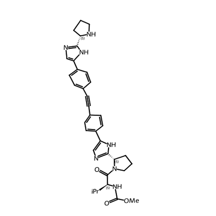 COC(=O)N[C@H](C(=O)N1CCC[C@H]1c1ncc(-c2ccc(C#Cc3ccc(-c4cnc([C@@H]5CCCN5)[nH]4)cc3)cc2)[nH]1)C(C)C